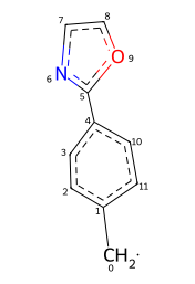 [CH2]c1ccc(-c2ncco2)cc1